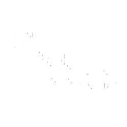 C=Nc1c(N2CCCc3nc(-c4ncon4)ccc32)n[nH]c1/N=C(\C)N1CCC2(CC1)CO[C@@H](C)[C@H]2N